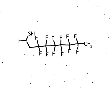 FC(S)CC(F)(F)C(F)(F)C(F)(F)C(F)(F)C(F)(F)C(F)(F)C(F)(F)F